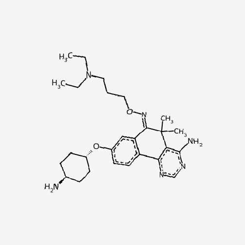 CCN(CC)CCCO/N=C1\c2cc(O[C@H]3CC[C@H](N)CC3)ccc2-c2ncnc(N)c2C1(C)C